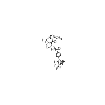 CN1C=CN(C)C1C(=O)N1CCOCC1CNC(=O)c1ccc(C2NOC(C(F)(F)F)N2)cc1